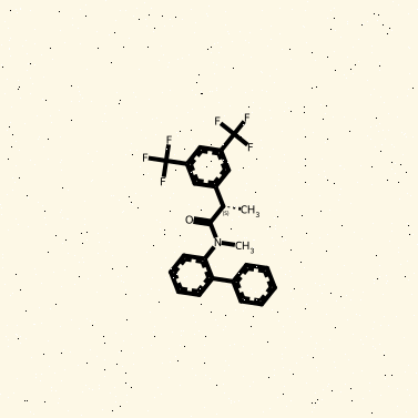 C[C@H](C(=O)N(C)c1ccccc1-c1ccccc1)c1cc(C(F)(F)F)cc(C(F)(F)F)c1